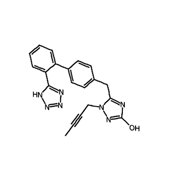 CC#CCn1nc(O)nc1Cc1ccc(-c2ccccc2-c2nnn[nH]2)cc1